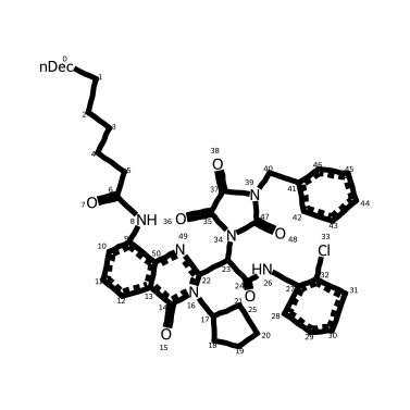 CCCCCCCCCCCCCCCC(=O)Nc1cccc2c(=O)n(C3CCCC3)c(C(C(=O)Nc3ccccc3Cl)N3C(=O)C(=O)N(Cc4ccccc4)C3=O)nc12